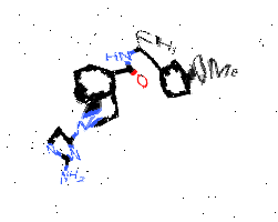 COc1cccc([C@@H](C)NC(=O)c2cccc3c2ccn3-c2ccnc(N)n2)c1